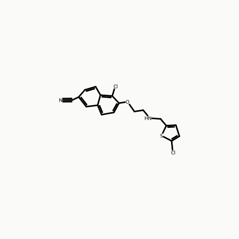 N#Cc1ccc2c(Cl)c(OCCNCc3ccc(Cl)s3)ccc2c1